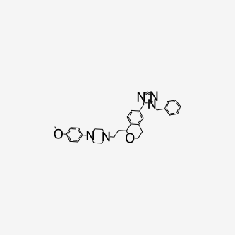 COc1ccc(N2CCN(CCC3OCCc4cc(-c5ncnn5Cc5ccccc5)ccc43)CC2)cc1